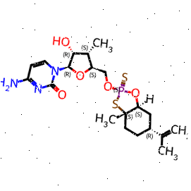 C=C(C)[C@@H]1CC[C@]2(C)S[P@@](=S)(OC[C@H]3O[C@@H](n4ccc(N)nc4=O)[C@H](O)[C@@H]3C)O[C@H]2C1